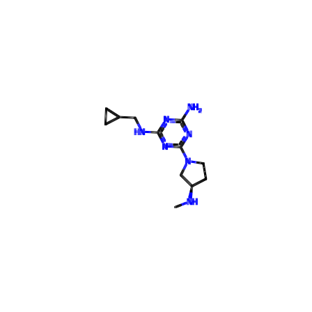 CN[C@@H]1CCN(c2nc(N)nc(NCC3CC3)n2)C1